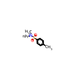 CCCN(C)S(=O)(=O)c1ccc(C)cc1